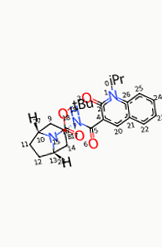 CC(C)n1c(=O)c(C(=O)N[C@H]2C[C@H]3CC[C@@H](C2)N3C(=O)OC(C)(C)C)cc2ccccc21